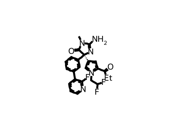 CCC(=O)c1cc([C@@]2(c3cccc(-c4cccnc4F)c3)N=C(N)N(C)C2=O)cn1CC(F)F